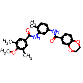 COc1c(C)cc(C(=O)Nc2cc(NC(=O)c3ccc4c(c3)OCCO4)ccc2C)cc1C